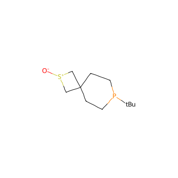 CC(C)(C)P1CCC2(CC1)C[S+]([O-])C2